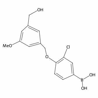 COc1cc(CO)cc(COc2ccc(B(O)O)cc2Cl)c1